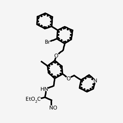 CCOC(=O)C(CN=O)NCc1cc(C)c(OCc2cccc(-c3ccccc3)c2Br)cc1OCc1cccnc1